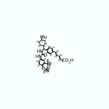 CC(C)(C)C1CCC(C(NC(=O)Nc2ccc3c(c2)C(F)(F)OC(F)(F)O3)c2ccc(C=CC=CC(=O)O)cc2)CC1